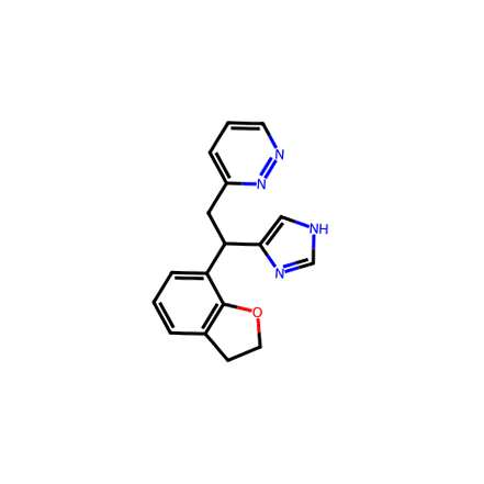 c1cnnc(CC(c2c[nH]cn2)c2cccc3c2OCC3)c1